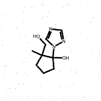 CC1(CO)CCCC1(O)n1cncn1